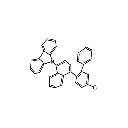 Clc1ccc(-c2ccc(-n3c4ccccc4c4ccccc43)c3ccccc23)c(-c2ccccc2)c1